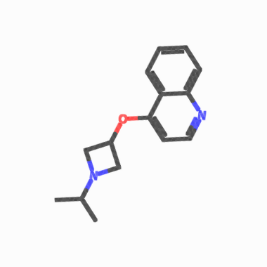 CC(C)N1CC(Oc2ccnc3ccccc23)C1